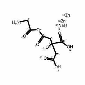 NCC(=O)OC(=O)CC(O)(CC(=O)O)C(=O)O.[NaH].[Zn].[Zn]